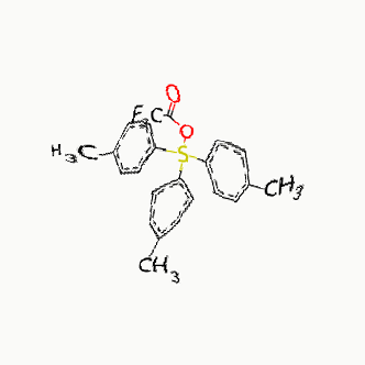 Cc1ccc(S(OC(=O)C(F)(F)F)(c2ccc(C)cc2)c2ccc(C)cc2)cc1